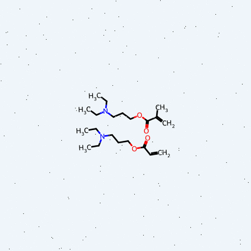 C=C(C)C(=O)OCCCN(CC)CC.C=CC(=O)OCCCN(CC)CC